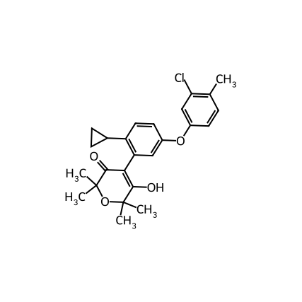 Cc1ccc(Oc2ccc(C3CC3)c(C3=C(O)C(C)(C)OC(C)(C)C3=O)c2)cc1Cl